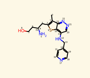 Cc1c(C[C@@H](N)CCO)sc2c(NCc3ccncc3)cnnc12